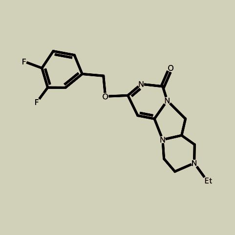 CCN1CCN2c3cc(OCc4ccc(F)c(F)c4)nc(=O)n3CC2C1